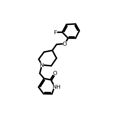 O=c1[nH]cccc1CN1CCC(COc2ccccc2F)CC1